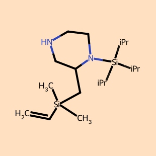 C=C[Si](C)(C)CC1CNCCN1[Si](C(C)C)(C(C)C)C(C)C